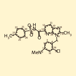 CNc1ccc(Cn2c(C)nc3ccc(C(=O)NS(=O)(=O)c4ccc(C)cc4)nc32)c(Cl)c1